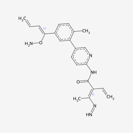 C=C/C=C(\ON)c1ccc(C)c(-c2ccc(NC(=O)/C(C=C)=C(\C)N=N)nc2)c1